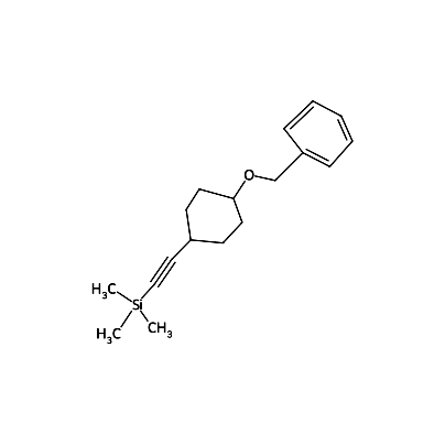 C[Si](C)(C)C#CC1CCC(OCc2ccccc2)CC1